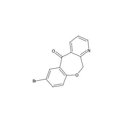 O=C1c2cc(Br)ccc2OCc2ncccc21